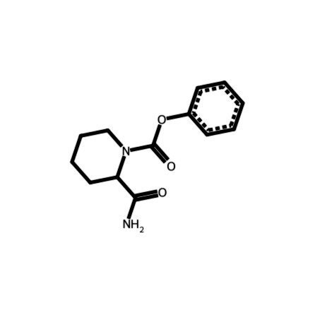 NC(=O)C1CCCCN1C(=O)Oc1ccccc1